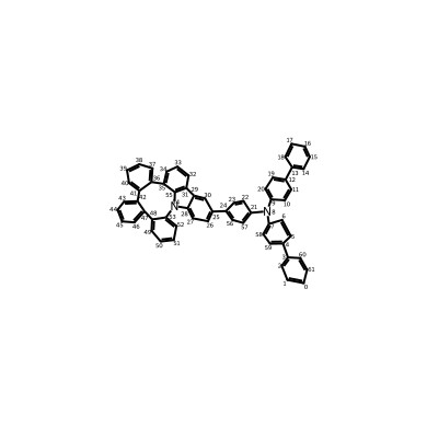 c1ccc(-c2ccc(N(c3ccc(-c4ccccc4)cc3)c3ccc(-c4ccc5c(c4)c4cccc6c7ccccc7c7ccccc7c7ccccc7n5c64)cc3)cc2)cc1